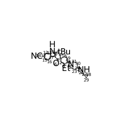 CCC1=CC(C)(C(=O)c2c(C(C)(C)C)[nH]c3cc(C#N)ccc23)CC=C1N1CCC(NCC2CC2)CC1